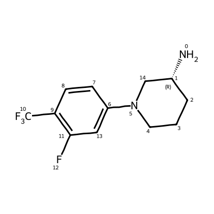 N[C@@H]1CCCN(c2ccc(C(F)(F)F)c(F)c2)C1